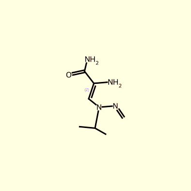 C=NN(/C=C(\N)C(N)=O)C(C)C